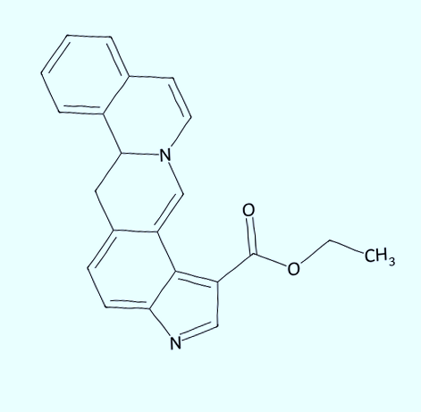 CCOC(=O)C1=c2c(ccc3c2=CN2C=Cc4ccccc4C2C3)N=C1